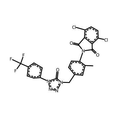 Cc1cc(Cn2nnn(-c3ccc(C(F)(F)F)cc3)c2=O)ccc1N1C(=O)c2c(Cl)ccc(Cl)c2C1=O